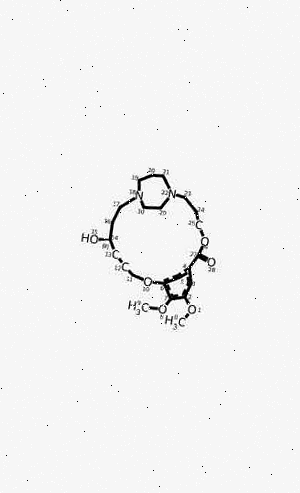 COc1cc2cc(c1OC)OCCC[C@@H](O)CCN1CCCN(CCCOC2=O)CC1